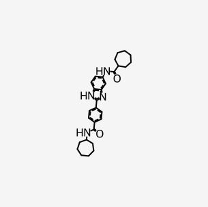 O=C(NC1CCCCCC1)c1ccc(-c2nc3cc(NC(=O)C4CCCCCC4)ccc3[nH]2)cc1